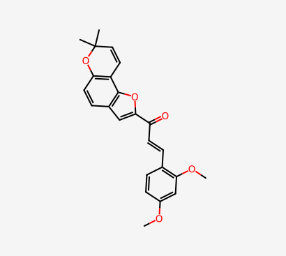 COc1ccc(/C=C/C(=O)c2cc3ccc4c(c3o2)C=CC(C)(C)O4)c(OC)c1